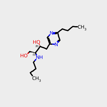 CCCCN[C@@H](CO)[C@H](O)Cc1cnc(CCCC)cn1